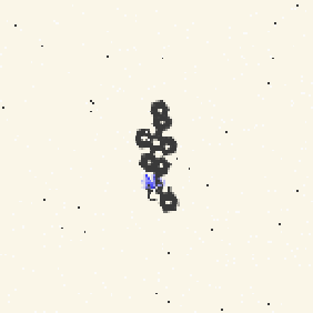 C/C=N\C(=C/Cc1ccccc1)c1cccc2c(-c3c4ccccc4c(-c4ccc5ccccc5c4)c4ccccc34)cccc12